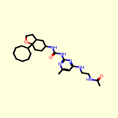 CC(=O)NCCNc1cc(C)nc(NC(=O)NC2CCC3(C4CCCCCCC4)OCCC3C2)n1